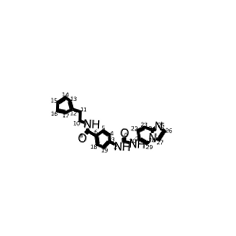 O=C(Nc1ccc(C(=O)NCCc2ccccc2)cc1)Nc1ccc2nccn2c1